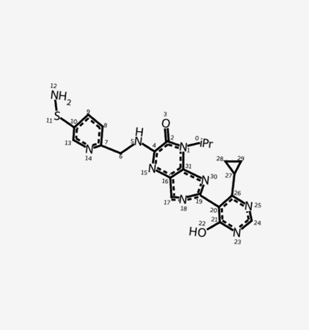 CC(C)n1c(=O)c(NCc2ccc(SN)cn2)nc2cnc(-c3c(O)ncnc3C3CC3)nc21